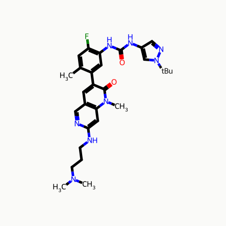 Cc1cc(F)c(NC(=O)Nc2cnn(C(C)(C)C)c2)cc1-c1cc2cnc(NCCCN(C)C)cc2n(C)c1=O